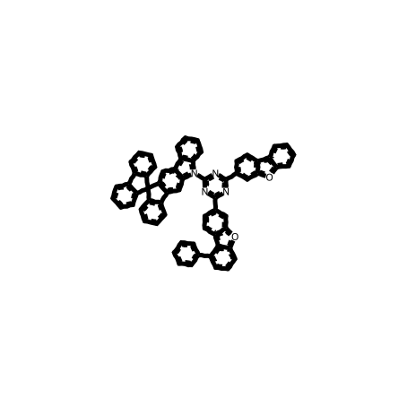 c1ccc(-c2cccc3oc4cc(-c5nc(-c6ccc7c(c6)oc6ccccc67)nc(-n6c7ccccc7c7cc8c(cc76)-c6ccccc6C86c7ccccc7-c7ccccc76)n5)ccc4c23)cc1